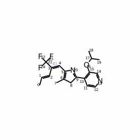 CC=C/C(=C\C1=C(C)CC(c2ccncc2OC(C)C)=N1)C(F)(F)F